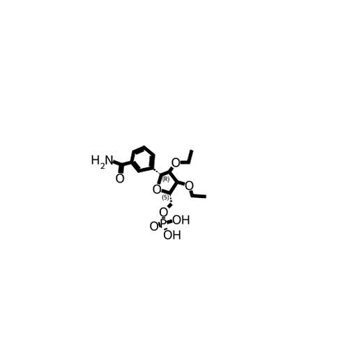 CCOC1C(OCC)[C@@H](c2cccc(C(N)=O)c2)O[C@H]1COP(=O)(O)O